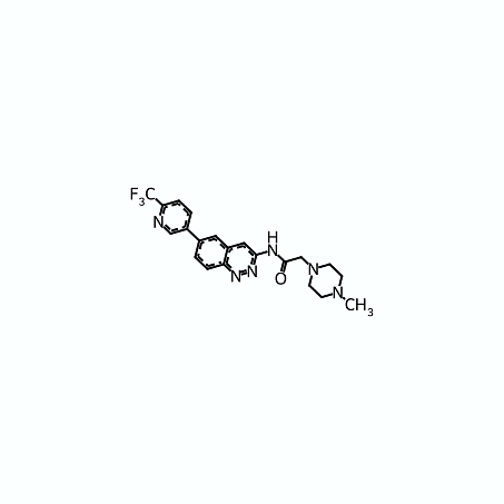 CN1CCN(CC(=O)Nc2cc3cc(-c4ccc(C(F)(F)F)nc4)ccc3nn2)CC1